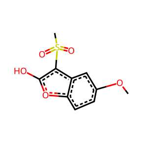 COc1ccc2oc(O)c(S(C)(=O)=O)c2c1